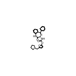 O=C(N[C@H]1N=C(c2ccccc2)c2ccccc2NC1=O)Oc1ccc(CN2CCCC2)o1